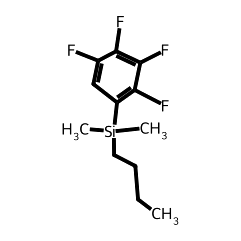 CCCC[Si](C)(C)c1cc(F)c(F)c(F)c1F